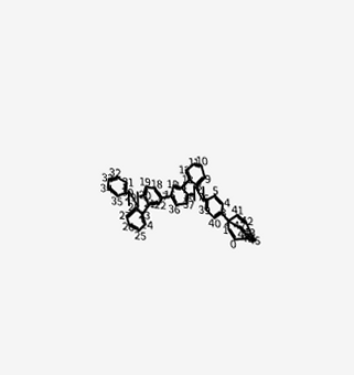 C1=CC2(c3ccc(-n4c5ccccc5c5cc(-c6ccc7c(c6)c6ccccc6n7-c6ccccc6)ccc54)cc3)C=CC3C1C3C=C2